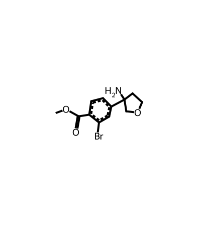 COC(=O)c1ccc(C2(N)CCOC2)cc1Br